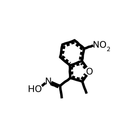 CC(=NO)c1c(C)oc2c([N+](=O)[O-])cccc12